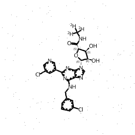 [2H]C([2H])([2H])NC(=O)[C@H]1O[C@@H](n2cnc3c(NCc4cccc(Cl)c4)nc(-c4cncc(Cl)c4)nc32)[C@H](O)[C@@H]1O